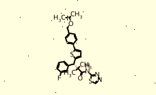 CN(C)OCc1ccc(-c2ccc([C@@H](c3cccc(F)c3)C(C)(C)C(=O)Nc3nncs3)s2)cc1